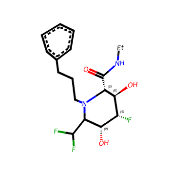 CCNC(=O)[C@@H]1[C@@H](O)[C@H](F)[C@H](O)C(C(F)F)N1CCCc1ccccc1